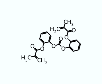 C=C(C)C(=O)Oc1ccccc1OC(=O)Oc1ccccc1OC(=O)C(=C)C